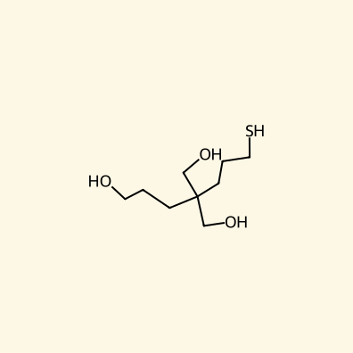 OCCCC(CO)(CO)CCCS